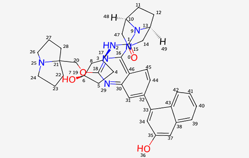 O=C(N[C@H]1CC[C@@H](O)C1)N1[C@@H]2CC[C@H]1CN(c1nc(OCC34CCCN3CCC4)nc3cc(-c4cc(O)cc5ccccc45)ccc13)C2